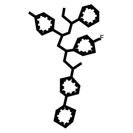 CCC(CC(CC(CC(C)c1ccc(-c2ccccc2)cc1)c1ccc(F)cc1)c1ccc(C)cc1)c1ccccc1